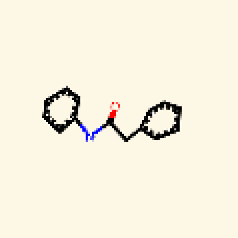 O=C(Cc1ccccc1)[N]c1ccccc1